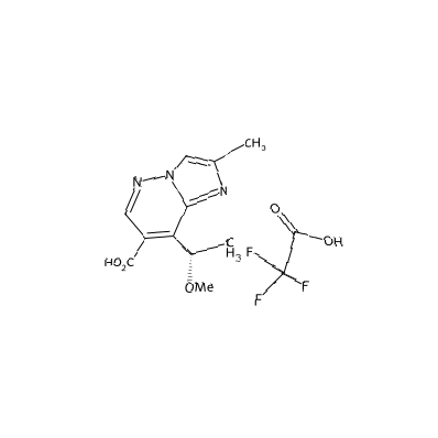 CO[C@@H](C)c1c(C(=O)O)cnn2cc(C)nc12.O=C(O)C(F)(F)F